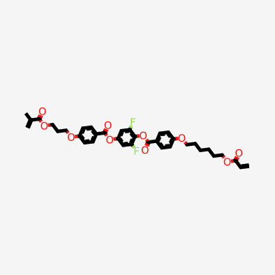 C=CC(=O)OCCCCCCOc1ccc(C(=O)Oc2c(F)cc(OC(=O)c3ccc(OCCCOC(=O)C(=C)C)cc3)cc2F)cc1